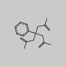 C=C(C)C[B-](CC(=C)C)(CC(=C)C)c1ccccc1